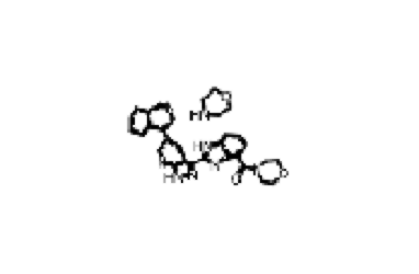 C1COCCN1.O=C(c1cccc2[nH]c(-c3n[nH]c4ncc(-c5cncc6ccccc56)cc34)nc12)N1CCOCC1